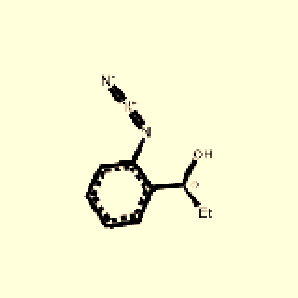 CC[C@H](O)c1ccccc1N=[N+]=[N-]